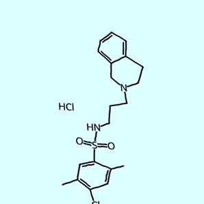 Cc1cc(S(=O)(=O)NCCCN2CCc3ccccc3C2)c(C)cc1Cl.Cl